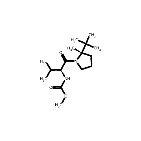 COC(=O)N[C@H](C(=O)N1CCC[C@@]1(C)C(C)(C)C)C(C)C